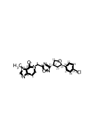 Cn1cnc2ccn(Cc3nc([C@@H]4CO[C@@H](c5ccc(Cl)cc5)C4)no3)c(=O)c21